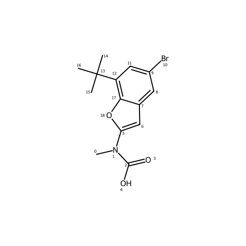 CN(C(=O)O)c1cc2cc(Br)cc(C(C)(C)C)c2o1